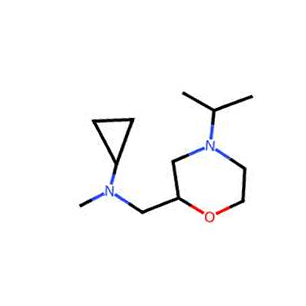 CC(C)N1CCOC(CN(C)C2CC2)C1